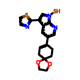 Sn1cc(-c2nccs2)c2cc(C3=CCC4(CC3)OCCO4)cnc21